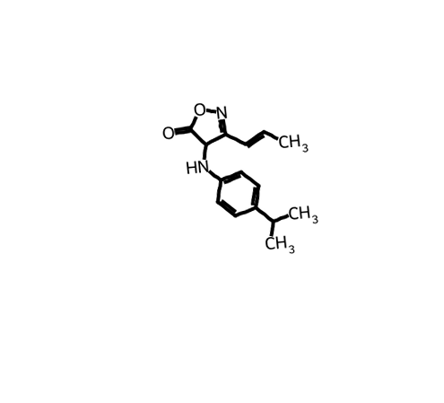 CC=CC1=NOC(=O)C1Nc1ccc(C(C)C)cc1